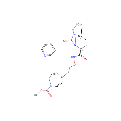 CC(C)(C)OC(=O)N1C=CN(CCONC(=O)[C@@H]2CC[C@@H]3CN2C(=O)N3OS(=O)(=O)O)C=CC1.c1ccncc1